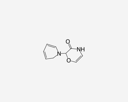 O=C1NC=COC1N1C=CC=CC1